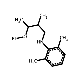 CCOC(C)C(C)CNc1c(C)cccc1C